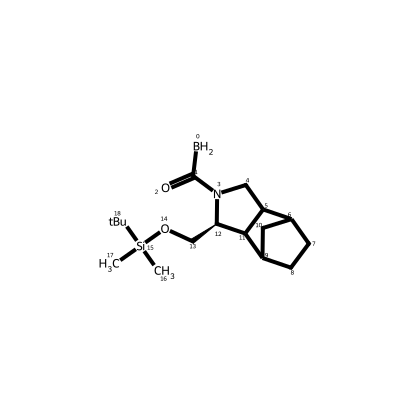 BC(=O)N1CC2C3CCC(C3)C2[C@H]1CO[Si](C)(C)C(C)(C)C